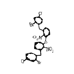 O=[N+]([O-])c1c(Cc2ccc(Cl)cc2Br)cccc1Oc1cccc(Cc2ccc(Cl)cc2Br)c1[N+](=O)[O-]